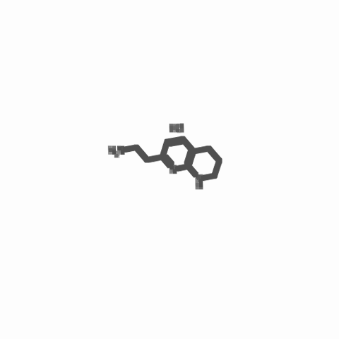 Cl.NCCc1ccc2c(n1)NCCC2